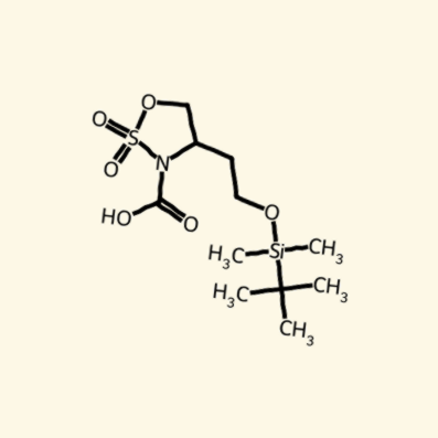 CC(C)(C)[Si](C)(C)OCCC1COS(=O)(=O)N1C(=O)O